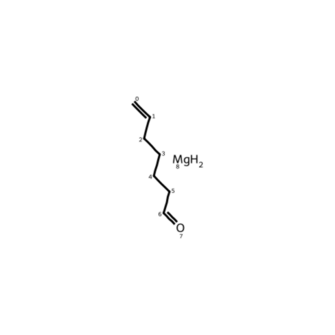 C=CCCCCC=O.[MgH2]